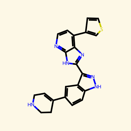 C1=C(c2ccc3[nH]nc(-c4nc5c(-c6ccsc6)ccnc5[nH]4)c3c2)CCNC1